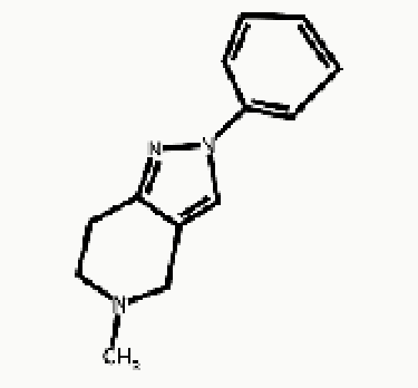 CN1CCc2nn(-c3ccccc3)cc2C1